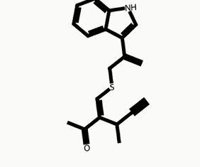 C#CC(C)/C(=C\SCC(=C)c1c[nH]c2ccccc12)C(C)=O